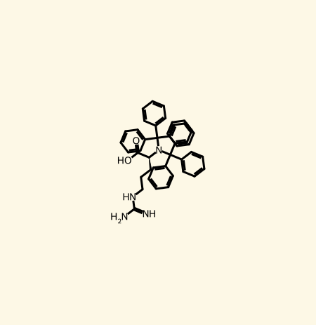 N=C(N)NCCC[C@@H](C(=O)O)N(C(c1ccccc1)(c1ccccc1)c1ccccc1)C(c1ccccc1)(c1ccccc1)c1ccccc1